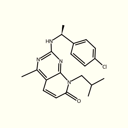 Cc1nc(N[C@@H](C)c2ccc(Cl)cc2)nc2c1ccc(=O)n2CC(C)C